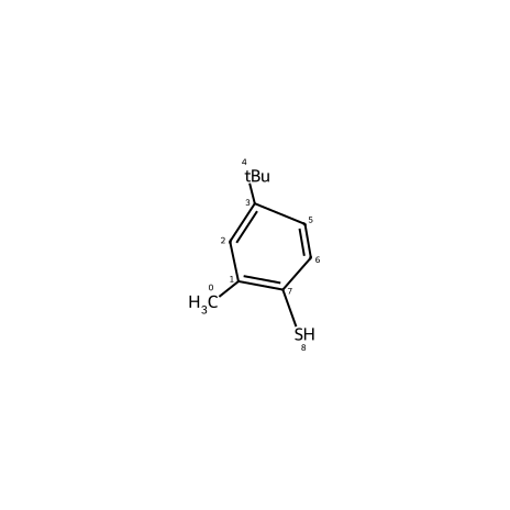 Cc1cc(C(C)(C)C)ccc1S